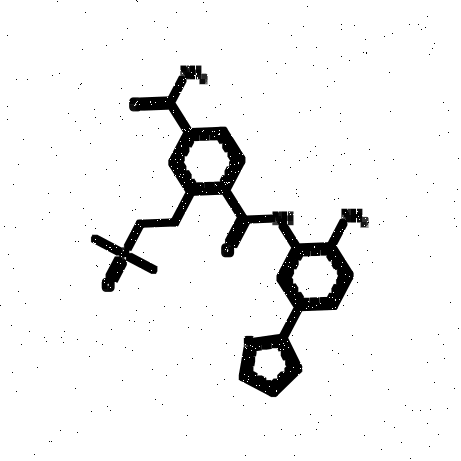 CP(C)(=O)CCc1cc(C(N)=O)ccc1C(=O)Nc1cc(-c2cccs2)ccc1N